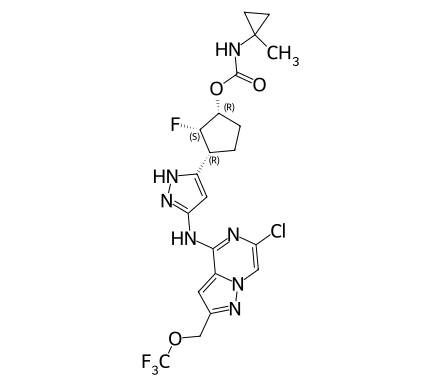 CC1(NC(=O)O[C@@H]2CC[C@H](c3cc(Nc4nc(Cl)cn5nc(COC(F)(F)F)cc45)n[nH]3)[C@@H]2F)CC1